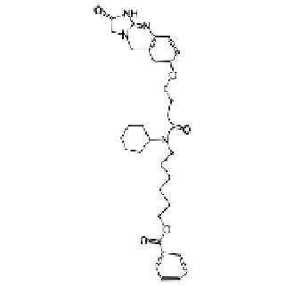 O=C1CN2Cc3cc(OCCCC(=O)N(CCCCCCOC(=O)c4ccccc4)C4CCCCC4)ccc3N=C2N1